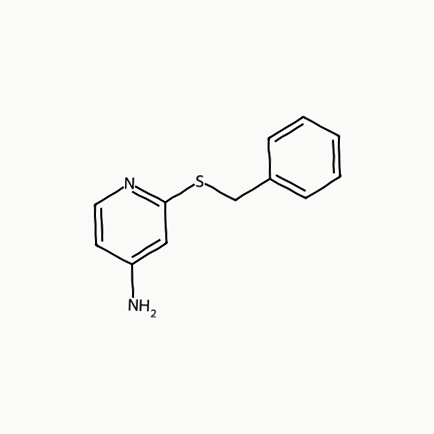 Nc1ccnc(SCc2ccccc2)c1